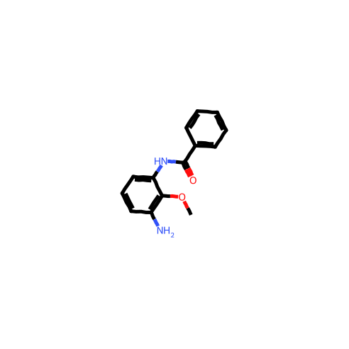 COc1c(N)cccc1NC(=O)c1ccccc1